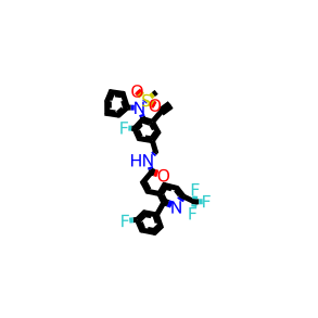 C#Cc1cc(CNC(=O)/C=C\c2ccc(C(F)(F)F)nc2-c2cccc(F)c2)cc(F)c1N(c1ccccc1)S(C)(=O)=O